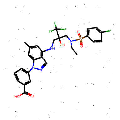 CCN(CC(O)(CNc1cc(C)cc2c1cnn2-c1cccc(C(=O)O)c1)C(F)(F)F)S(=O)(=O)c1ccc(F)cc1